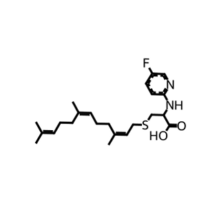 CC(C)=CCCC(C)=CCCC(C)=CCSCC(Nc1ccc(F)cn1)C(=O)O